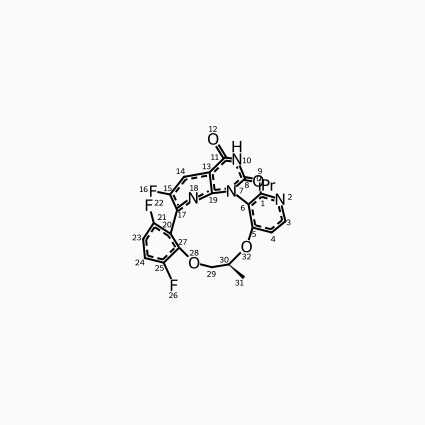 CC(C)c1nccc2c1-n1c(=O)[nH]c(=O)c3cc(F)c(nc31)-c1c(F)ccc(F)c1OC[C@H](C)O2